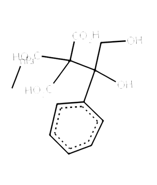 CCCC.O=C(O)C(C(=O)O)(C(=O)O)C(O)(CO)c1ccccc1